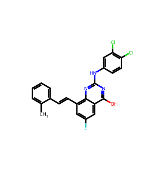 Cc1ccccc1/C=C/c1cc(F)cc2c(O)nc(Nc3ccc(Cl)c(Cl)c3)nc12